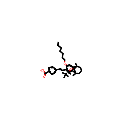 CCCCCCCOc1cc2c(cc1/C=C/c1ccc(C(=O)O)cc1)C1(C)CCCC2(C)C1O[Si](C)(C)C(C)(C)C